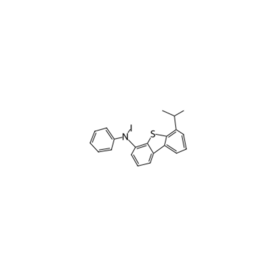 CC(C)c1cccc2c1sc1c(N(I)c3ccccc3)cccc12